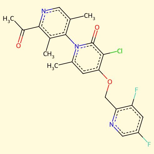 CC(=O)c1ncc(C)c(-n2c(C)cc(OCc3ncc(F)cc3F)c(Cl)c2=O)c1C